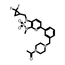 CC(=O)N1CCN(Cc2cccc(-c3ccc4c(n3)N(C)S(=O)(=O)N4CC3CC3(F)F)c2)CC1